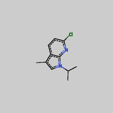 Cc1cn(C(C)C)c2nc(Cl)ccc12